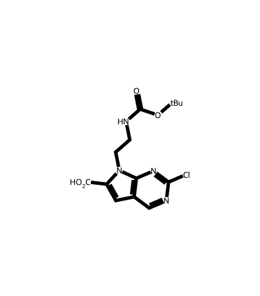 CC(C)(C)OC(=O)NCCn1c(C(=O)O)cc2cnc(Cl)nc21